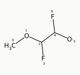 COC(F)C([O])F